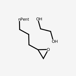 CCCCCCCCC1CO1.OCCO